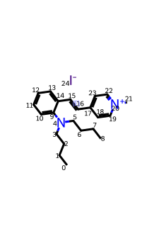 CCCCN(CCCC)c1ccccc1/C=C/c1cc[n+](C)cc1.[I-]